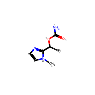 CC(C)C(OC(N)=O)c1nccn1C